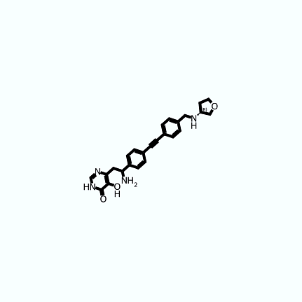 NC(Cc1nc[nH]c(=O)c1O)c1ccc(C#Cc2ccc(CN[C@@H]3CCOC3)cc2)cc1